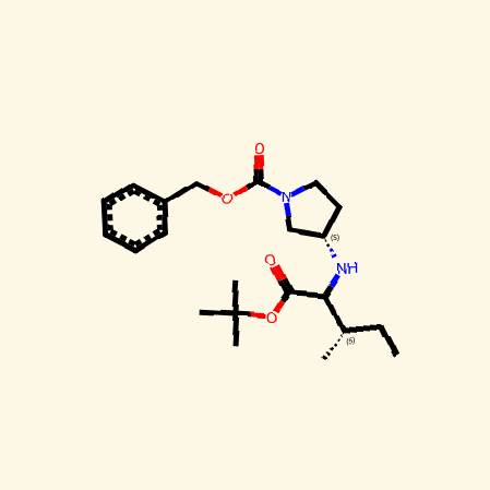 CC[C@H](C)C(N[C@H]1CCN(C(=O)OCc2ccccc2)C1)C(=O)OC(C)(C)C